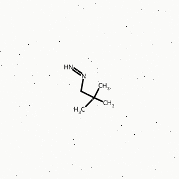 CC(C)(C)CN=N